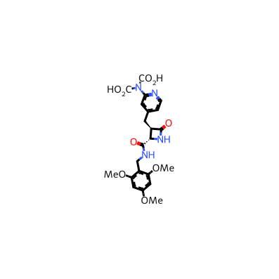 COc1cc(OC)c(CNC(=O)[C@H]2NC(=O)[C@@H]2Cc2ccnc(N(C(=O)O)C(=O)O)c2)c(OC)c1